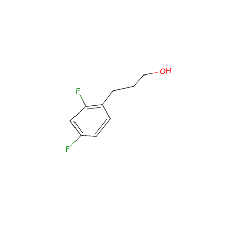 OCCCc1ccc(F)cc1F